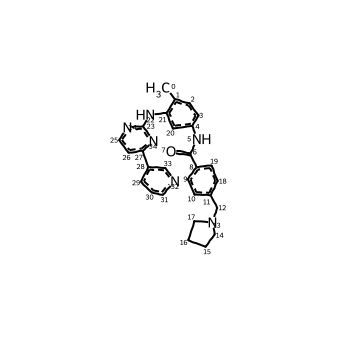 Cc1ccc(NC(=O)c2ccc(CN3CCCC3)cc2)cc1Nc1nccc(-c2cccnc2)n1